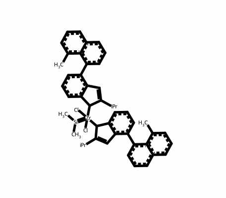 Cc1cccc2cccc(-c3cccc4c3C=C(C(C)C)[CH]4[Zr]([Cl])([Cl])([CH]3C(C(C)C)=Cc4c(-c5cccc6cccc(C)c56)cccc43)=[Si](C)C)c12